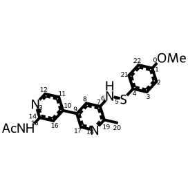 COc1ccc(SNc2cc(-c3ccnc(NC(C)=O)c3)cnc2C)cc1